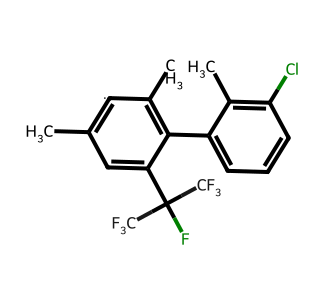 Cc1[c]c(C)c(-c2cccc(Cl)c2C)c(C(F)(C(F)(F)F)C(F)(F)F)c1